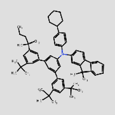 CCCC(C)(C)c1cc(-c2cc(-c3cc(C(C)(C)C)cc(C(C)(C)C)c3)cc(N(c3ccc(C4CCCCC4)cc3)c3ccc4c(c3)C(C)(C)c3ccccc3-4)c2)cc(C(C)(C)C)c1